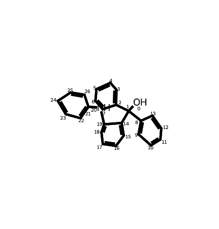 OC(c1ccccc1)(c1ccccc1)c1ccccc1Nc1ccccc1